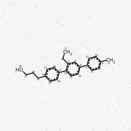 CCc1cc(-c2ccc(C)cc2)ccc1-c1ccc(CCCO)cc1